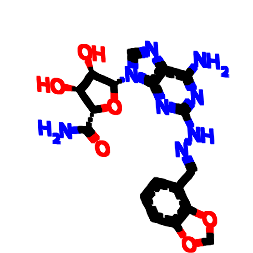 NC(=O)[C@H]1O[C@@H](n2cnc3c(N)nc(N/N=C/c4cccc5c4OCO5)nc32)[C@H](O)[C@@H]1O